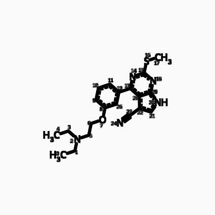 CCN(CC)CCOc1cccc(-c2nc(SC)nc3[nH]cc(C#N)c23)c1